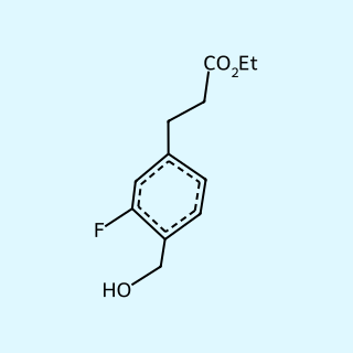 CCOC(=O)CCc1ccc(CO)c(F)c1